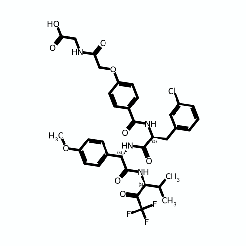 COc1ccc([C@H](NC(=O)[C@H](Cc2cccc(Cl)c2)NC(=O)c2ccc(OCC(=O)NCC(=O)O)cc2)C(=O)N[C@H](C(=O)C(F)(F)F)C(C)C)cc1